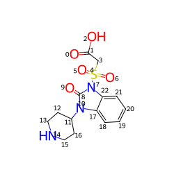 O=C(O)CS(=O)(=O)n1c(=O)n(C2CCNCC2)c2ccccc21